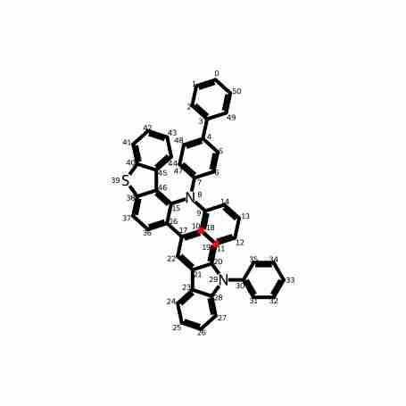 c1ccc(-c2ccc(N(c3ccccc3)c3c(-c4ccc5c(c4)c4ccccc4n5-c4ccccc4)ccc4sc5ccccc5c34)cc2)cc1